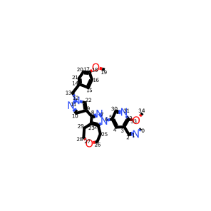 C/N=C\c1cc(-n2nc(-c3cnn(Cc4ccc(OC)cc4)c3)c3c2CCOCC3)cnc1OC